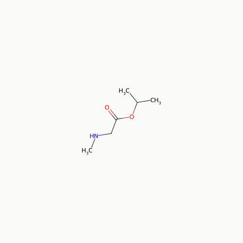 CNCC(=O)OC(C)C